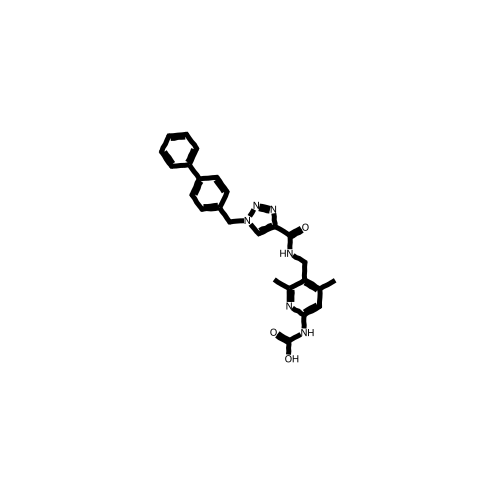 Cc1cc(NC(=O)O)nc(C)c1CNC(=O)c1cn(Cc2ccc(-c3ccccc3)cc2)nn1